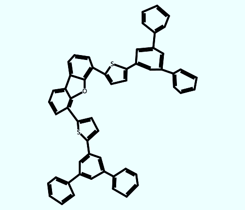 c1ccc(-c2cc(-c3ccccc3)cc(-c3ccc(-c4cccc5c4oc4c(-c6ccc(-c7cc(-c8ccccc8)cc(-c8ccccc8)c7)s6)cccc45)s3)c2)cc1